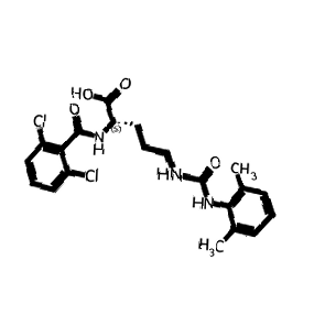 Cc1cccc(C)c1NC(=O)NCCC[C@H](NC(=O)c1c(Cl)cccc1Cl)C(=O)O